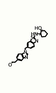 O=CCc1ccc2c(c1)ncn2Cc1ccc2nc(N[C@@H]3CCCC[C@H]3O)sc2c1